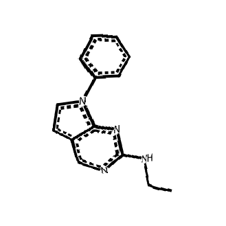 CCNc1ncc2ccn(-c3ccccc3)c2n1